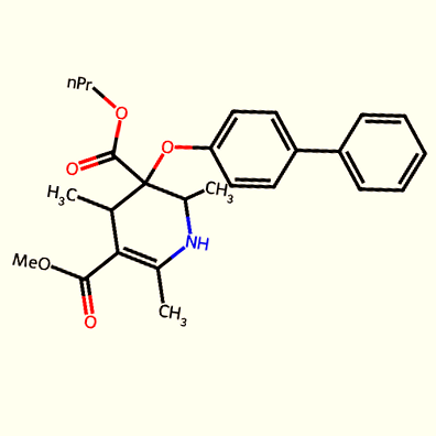 CCCOC(=O)C1(Oc2ccc(-c3ccccc3)cc2)C(C)NC(C)=C(C(=O)OC)C1C